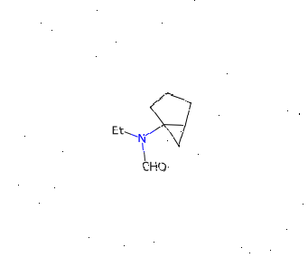 CCN([C]=O)C12CCCC1C2